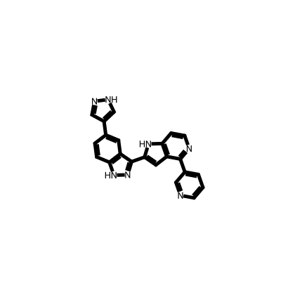 c1cncc(-c2nccc3[nH]c(-c4n[nH]c5ccc(-c6cn[nH]c6)cc45)cc23)c1